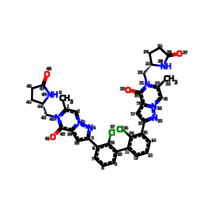 Cc1cn2nc(-c3cccc(-c4cccc(-c5cc6c(=O)n(C[C@@H]7CCC(=O)N7)c(C)cn6n5)c4Cl)c3Cl)cc2c(=O)n1C[C@@H]1CCC(=O)N1